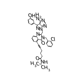 CC(C)NC(=O)CCCC#Cc1cccc2nc(Cn3nc(-c4cccc(O)c4)c4c(N)ncnc43)n(Cc3ccccc3Cl)c(=O)c12